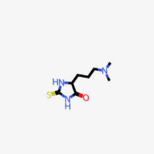 CN(C)CCCC1NC(=S)NC1=O